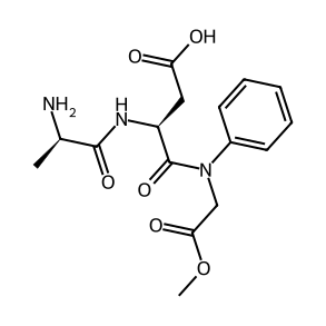 COC(=O)CN(C(=O)[C@H](CC(=O)O)NC(=O)[C@@H](C)N)c1ccccc1